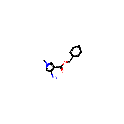 Cn1cc(N)c(C(=O)OCc2ccccc2)c1